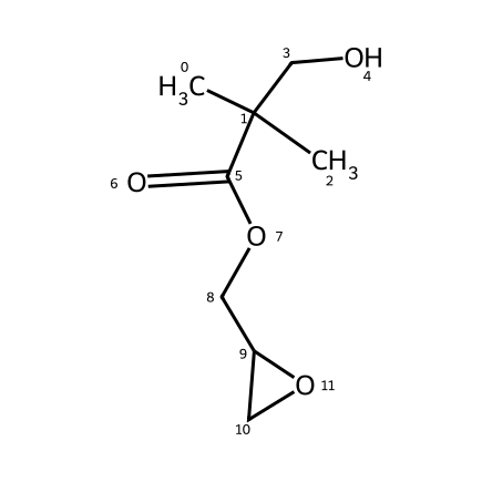 CC(C)(CO)C(=O)OCC1CO1